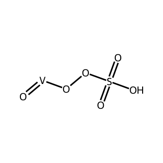 [O]=[V][O]OS(=O)(=O)O